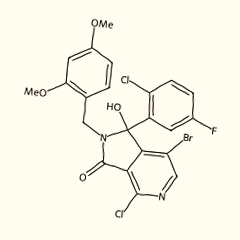 COc1ccc(CN2C(=O)c3c(Cl)ncc(Br)c3C2(O)c2cc(F)ccc2Cl)c(OC)c1